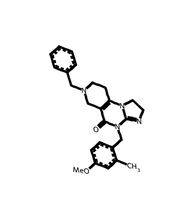 COc1ccc(CN2C(=O)C3=C(CCN(Cc4ccccc4)C3)N3CCN=C23)c(C)c1